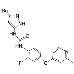 Cc1cc(Oc2ccc(NC(=O)Nc3cc(C(C)(C)C)n[nH]3)c(F)c2)ccn1